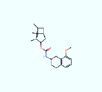 COc1cccc2c1CC(NC(=O)OC1CC3CC4(C)C3(C)C14C)CC2